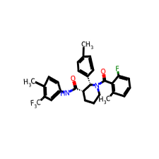 Cc1ccc([C@H]2[C@@H](C(=O)Nc3ccc(C)c(C(F)(F)F)c3)CCCN2C(=O)c2c(C)cccc2F)cc1